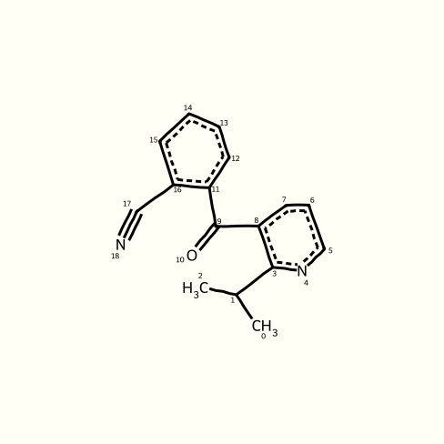 CC(C)c1ncccc1C(=O)c1ccccc1C#N